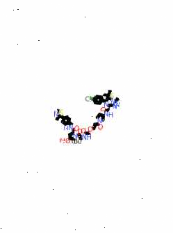 Cc1ncsc1-c1ccc(CNC(=O)[C@@H]2C[C@@H](O)CN2C(=O)C(NC(=O)COCCC(=O)N2CC[C@H](NC(=O)C[C@@H]3N=C(c4ccc(Cl)cc4)c4c(sc(C)c4C)-n4c(C)nnc43)C2)C(C)(C)C)cc1